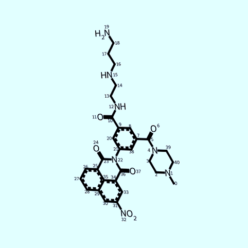 CN1CCN(C(=O)c2cc(C(=O)NCCNCCCN)cc(N3C(=O)c4cccc5cc([N+](=O)[O-])cc(c45)C3=O)c2)CC1